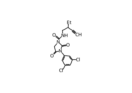 C#CC(CC)CNC(=O)N1CC(=O)N(c2cc(Cl)cc(Cl)c2)C1=O